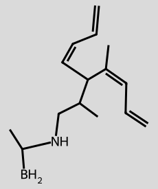 BC(C)NCC(C)C(/C=C\C=C)/C(C)=C\C=C